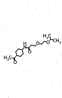 CC(=O)[C@H]1CC[C@@H](NC(=O)CCOCCOC(C)C)CC1